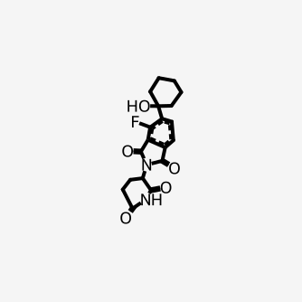 O=C1CCC(N2C(=O)c3ccc(C4(O)CCCCC4)c(F)c3C2=O)C(=O)N1